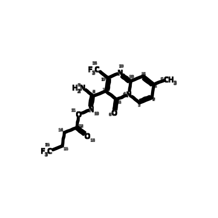 Cc1ccn2c(=O)c(C(N)=NOC(=O)CCC(F)(F)F)c(C(F)(F)F)nc2c1